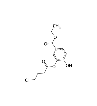 CCOC(=O)c1ccc(O)c(OC(=O)CCCCl)c1